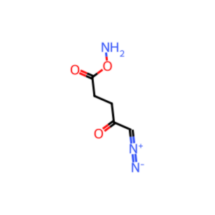 [N-]=[N+]=CC(=O)CCC(=O)ON